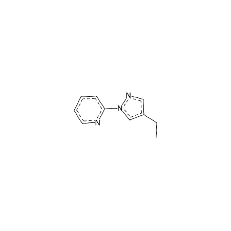 CCc1cnn(-c2ccccn2)c1